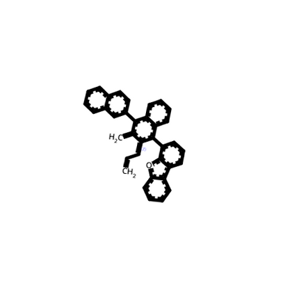 C=C/C=c1/c(-c2cccc3c2oc2ccccc23)c2ccccc2c(-c2ccc3ccccc3c2)c1=C